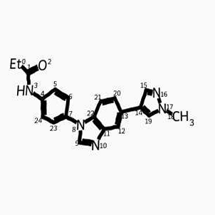 CCC(=O)Nc1ccc(-n2cnc3cc(-c4cnn(C)c4)ccc32)cc1